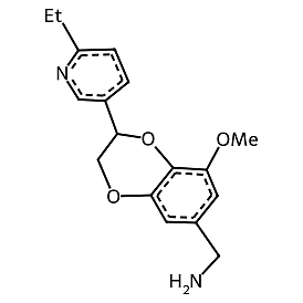 CCc1ccc(C2COc3cc(CN)cc(OC)c3O2)cn1